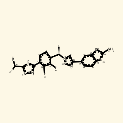 C[C@H](c1ccc(-c2nnc(C(F)F)o2)c(F)c1F)n1cc(-c2ccc3nc(N)sc3c2)nn1